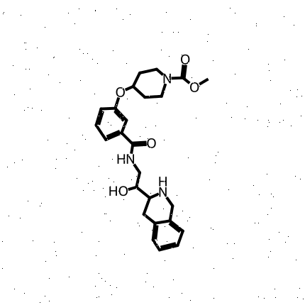 COC(=O)N1CCC(Oc2cccc(C(=O)NCC(O)C3Cc4ccccc4CN3)c2)CC1